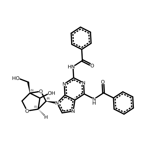 O=C(Nc1nc(NC(=O)c2ccccc2)c2ncn([C@@H]3O[C@@]4(CO)CO[C@H]3C4O)c2n1)c1ccccc1